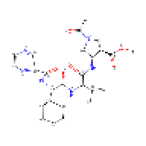 COC(=O)[C@@H]1CN(C(C)=O)C[C@@H]1NC(=O)C(NC(=O)[C@@H](NC(=O)c1cnccn1)C1CCCCC1)C(C)C